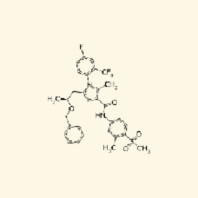 Cc1cc(NC(=O)c2cc(C[C@H](C)OCc3ccccc3)n(-c3ccc(F)cc3C(F)(F)F)c2C)ccc1S(C)(=O)=O